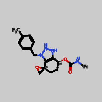 CC(C)NC(=O)O[C@@H]1CC[C@]2(CO2)C2=C1NNN2Cc1ccc(C(F)(F)F)cc1